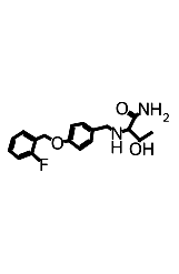 CC(O)C(NCc1ccc(OCc2ccccc2F)cc1)C(N)=O